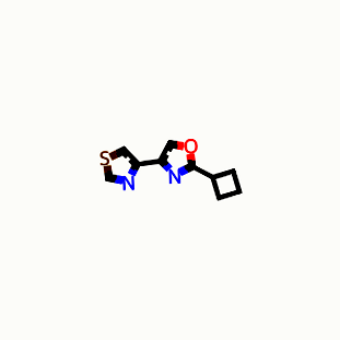 c1nc(-c2coc(C3CCC3)n2)cs1